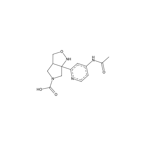 CC(=O)Nc1ccnc(C23CN(C(=O)O)CC2CON3)c1